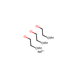 COCC[O-].COCC[O-].COCC[O-].[Nd+3]